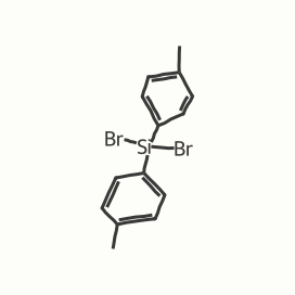 Cc1ccc([Si](Br)(Br)c2ccc(C)cc2)cc1